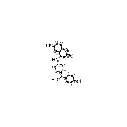 CC(c1ccc(Cl)cc1)N1CCC(Nc2cc(=O)oc3ccc(Cl)cc23)CC1